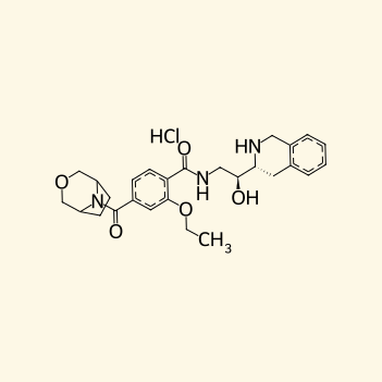 CCOc1cc(C(=O)N2C3CCC2COC3)ccc1C(=O)NC[C@H](O)[C@H]1Cc2ccccc2CN1.Cl